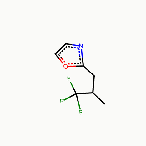 CC(Cc1ncco1)C(F)(F)F